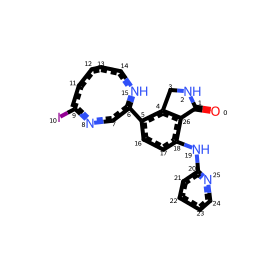 O=C1NCc2c(-c3cnc(I)cccc[nH]3)ccc(Nc3ccccn3)c21